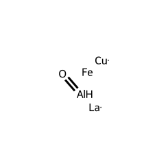 [Cu].[Fe].[La].[O]=[AlH]